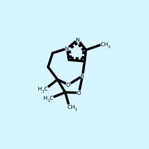 Cc1nn2cc1B1OC(C)(C)C(C)(CC2)O1